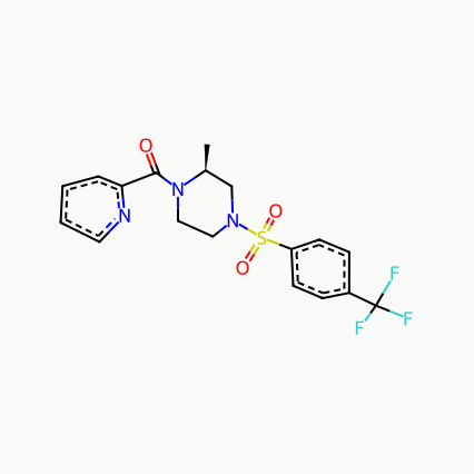 C[C@H]1CN(S(=O)(=O)c2ccc(C(F)(F)F)cc2)CCN1C(=O)c1ccccn1